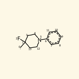 [CH2]C1(F)CCN(c2ccccc2)CC1